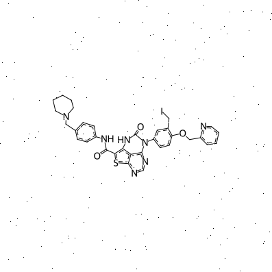 O=C(Nc1ccc(CN2CCCCC2)cc1)c1sc2ncnc3c2c1NC(=O)N3c1ccc(OCc2ccccn2)c(CI)c1